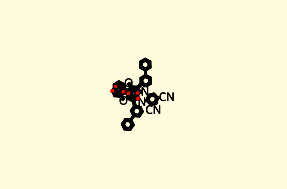 N#Cc1cc(C#N)c(-n2c3ccc(-c4ccccc4)cc3c3c4oc5ccccc5c4ccc32)c(-n2c3ccc(-c4ccccc4)cc3c3c4oc5ccccc5c4ccc32)c1